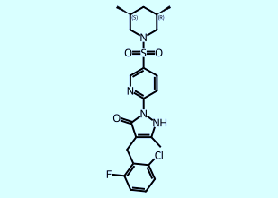 Cc1[nH]n(-c2ccc(S(=O)(=O)N3C[C@H](C)C[C@H](C)C3)cn2)c(=O)c1Cc1c(F)cccc1Cl